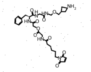 NC1CC(COCNC(=O)CNC(=O)[C@H](Cc2ccccc2)NC(=O)COC(=O)CNC(=O)CCCCCN2C(=O)C=CC2=O)C1